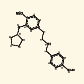 COc1ccc(CCNCc2ccc(NC(C)=O)cc2)cc1OC1CCCC1